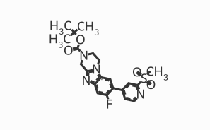 CC(C)(C)OC(=O)N1CCn2c(nc3cc(F)c(-c4ccnc(S(C)(=O)=O)c4)cc32)C1